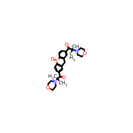 CC(C)(C(=O)c1ccc2c(c1)Cc1cc(C(=O)C(C)(C)N3CCOCC3)ccc1[S+]2[O-])N1CCOCC1